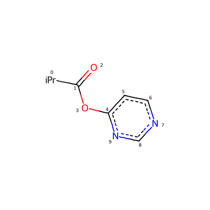 CC(C)C(=O)Oc1ccncn1